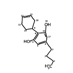 CCCCc1cc(O)c(C2CC=CCC2)c(O)c1